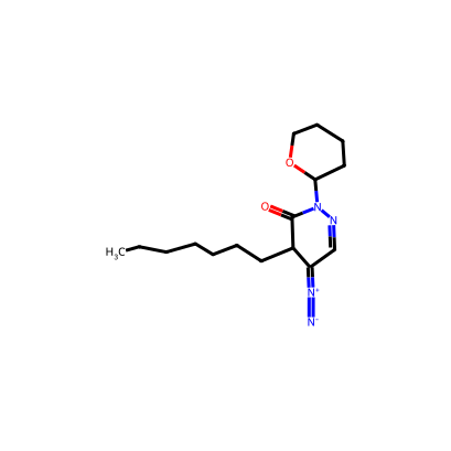 CCCCCCCC1C(=O)N(C2CCCCO2)N=CC1=[N+]=[N-]